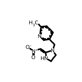 Cc1ccc(CN2CCNC2=C[N+](=O)[O-])cn1